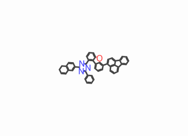 C1=Cc2cc(-c3nc(-c4ccccc4)nc(-c4cccc5oc6c(-c7ccc8c9c(cccc79)-c7ccccc7-8)cccc6c45)n3)ccc2CC1